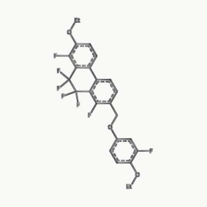 CCOc1ccc(OCc2ccc3c(c2F)C(F)(F)C(F)(F)c2c-3ccc(OCC)c2F)cc1F